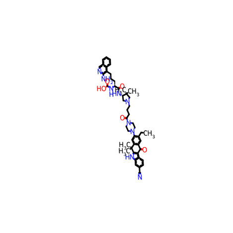 CCc1cc2c(cc1N1CCN(C(=O)CCCN3C[C@H](NC(=O)[C@H](CCCc4c(N)ncc5ccccc45)NC(=O)O)C(C)(C)C3)CC1)C(C)(C)c1[nH]c3cc(C#N)ccc3c1C2=O